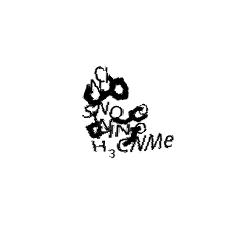 CN[C@@H](C)C(=O)N[C@H](C(=O)N1CCC[C@H]1c1nc2c(-c3ccccc3Cl)nccc2s1)C1CCOCC1